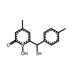 Cc1ccc(C(S)c2cc(C)cc(=O)n2O)cc1